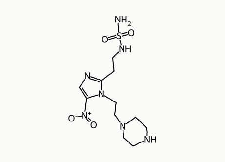 NS(=O)(=O)NCCc1ncc([N+](=O)[O-])n1CCN1CCNCC1